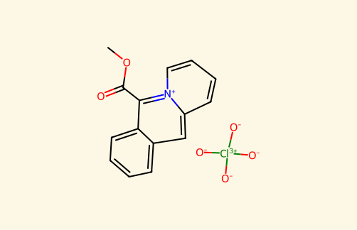 COC(=O)c1c2ccccc2cc2cccc[n+]12.[O-][Cl+3]([O-])([O-])[O-]